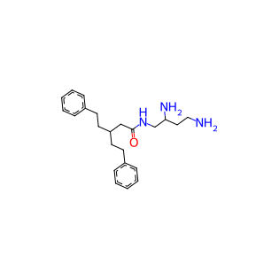 NCCC(N)CNC(=O)CC(CCc1ccccc1)CCc1ccccc1